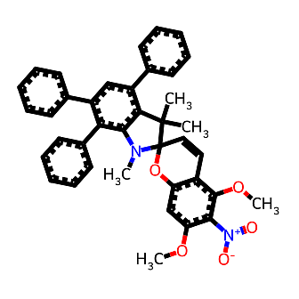 COc1cc2c(c(OC)c1[N+](=O)[O-])C=CC1(O2)N(C)c2c(-c3ccccc3)c(-c3ccccc3)cc(-c3ccccc3)c2C1(C)C